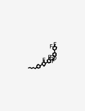 CCCCCc1ccc(-c2ccc(-c3ccc(C(F)(F)Oc4ccc(-c5ccc(F)c(F)c5)cc4)c(F)c3)c(F)c2)cc1